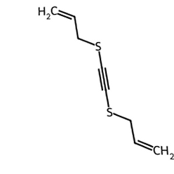 C=CCSC#CSCC=C